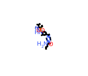 C=C/C=C(\N)C(=O)N1CCN(C(=C)c2ccc(NS(=O)(=O)/C(C=C)=C(\N=C)C(=C)C)c(C)c2)CC1